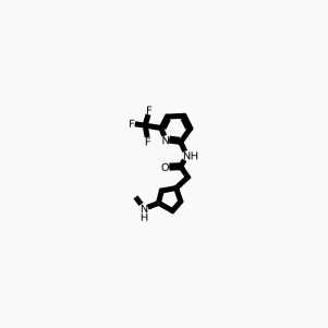 CNC1CCC(CC(=O)Nc2cccc(C(F)(F)F)n2)C1